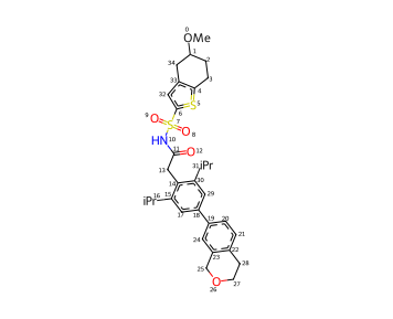 COC1CCc2sc(S(=O)(=O)NC(=O)Cc3c(C(C)C)cc(-c4ccc5c(c4)COCC5)cc3C(C)C)cc2C1